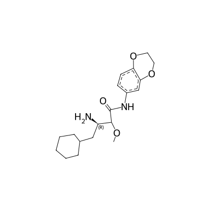 COC(C(=O)Nc1ccc2c(c1)OCCO2)[C@H](N)CC1CCCCC1